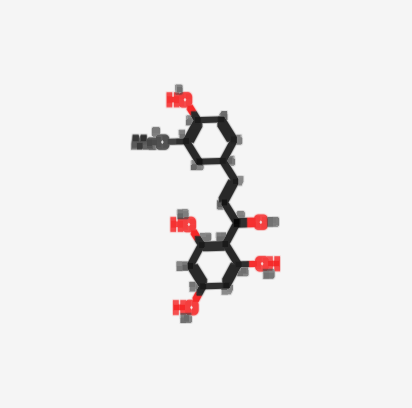 COC1=C(O)C=CC(C=CC(=O)c2c(O)cc(O)cc2O)C1